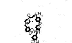 CN(CCC(=O)N1CCN(Cc2ccc3c(c2)OCO3)CC1)c1ccc(Oc2ccc(NCc3ccc(Cl)c(Cl)c3)cn2)cc1